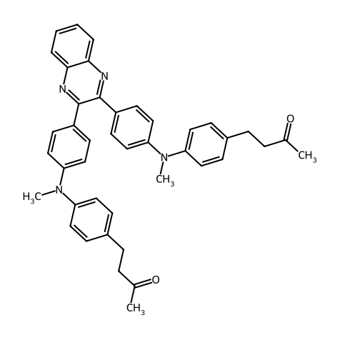 CC(=O)CCc1ccc(N(C)c2ccc(-c3nc4ccccc4nc3-c3ccc(N(C)c4ccc(CCC(C)=O)cc4)cc3)cc2)cc1